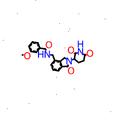 COc1cccc(C(=O)NCc2cccc3c2CN(C2CCC(=O)NC2=O)C3=O)c1